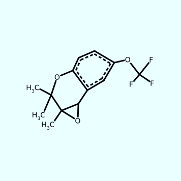 CC1(C)Oc2ccc(OC(F)(F)F)cc2C2OC21C